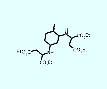 CCOC(=O)CC(NC1CCC(C)C(NC(CC(=O)OCC)C(=O)OCC)C1)C(=O)OCC